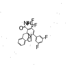 NC(=O)c1c(C(F)(F)F)cc(-c2cc(F)cc(F)c2)nc1Cc1ccccc1Cl